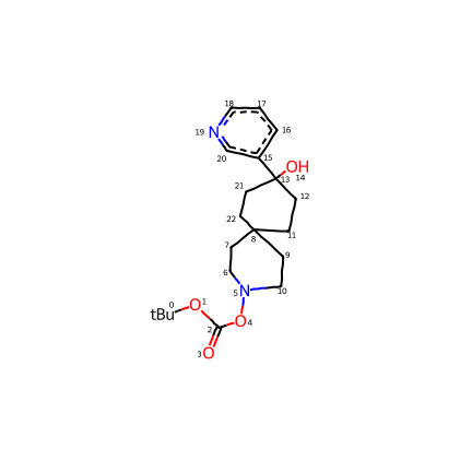 CC(C)(C)OC(=O)ON1CCC2(CC1)CCC(O)(c1cccnc1)CC2